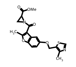 COC(=O)C1CN1C(=O)c1c(C)oc2ccc(OCc3scnc3C)cc12